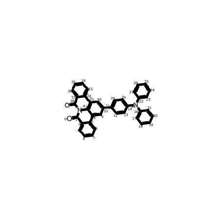 O=c1c2ccccc2c2cc(-c3ccc(N(c4ccccc4)c4ccccc4)cc3)cc3c4ccccc4c(=O)n1c23